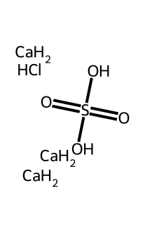 Cl.O=S(=O)(O)O.[CaH2].[CaH2].[CaH2]